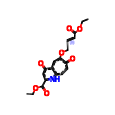 CCOC(=O)/C=C/COc1cc2c(=O)cc(C(=O)OCC)[nH]c2ccc1=O